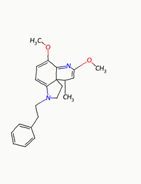 COC1=CC(C)C23CCN(CCc4ccccc4)C2=CC=C(OC)C3=N1